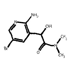 CN(C)C(=O)C(O)c1cc(Br)cnc1N